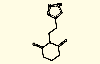 O=C1CCCC(=O)N1CCc1cn[nH]c1